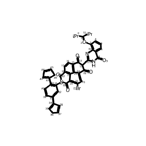 CC(C)C(Oc1cccc2c(=O)[nH]c(C3C(=O)c4ccc5c6c(c(Br)cc(c46)C3=O)C(=O)N(c3cc(C4=CCC=C4)ccc3C3=CC=CC3)C5=O)nc12)C(C)C